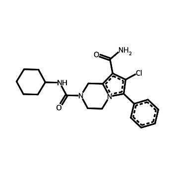 NC(=O)c1c(Cl)c(-c2ccccc2)n2c1CN(C(=O)NC1CCCCC1)CC2